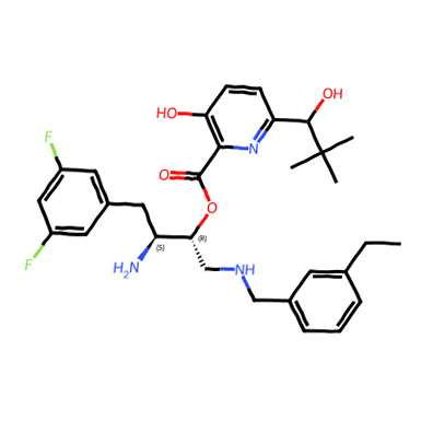 CCc1cccc(CNC[C@@H](OC(=O)c2nc(C(O)C(C)(C)C)ccc2O)[C@@H](N)Cc2cc(F)cc(F)c2)c1